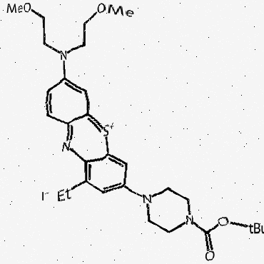 CCc1cc(N2CCN(C(=O)OC(C)(C)C)CC2)cc2[s+]c3cc(N(CCOC)CCOC)ccc3nc12.[I-]